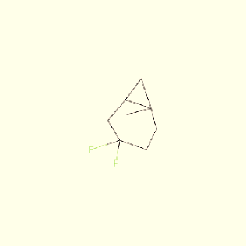 CC12CCC(F)(F)CC1C2